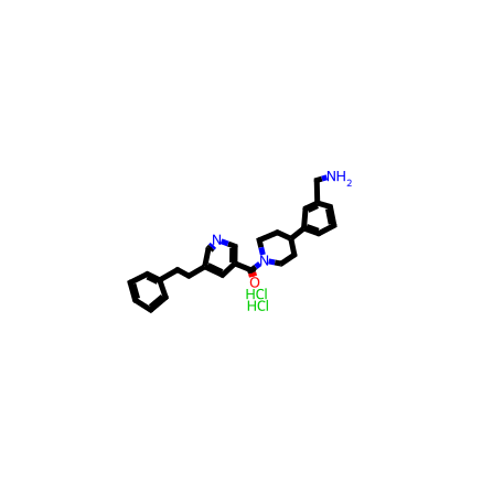 Cl.Cl.NCc1cccc(C2CCN(C(=O)c3cncc(CCc4ccccc4)c3)CC2)c1